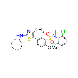 COc1ccc(-c2sc(NC3CCCCCC3)nc2C)cc1S(=O)(=O)Nc1c(F)cccc1Cl